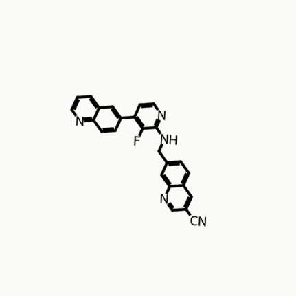 N#Cc1cnc2cc(CNc3nccc(-c4ccc5ncccc5c4)c3F)ccc2c1